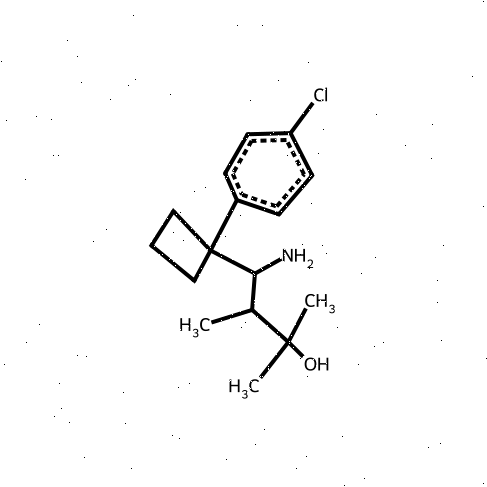 CC(C(N)C1(c2ccc(Cl)cc2)CCC1)C(C)(C)O